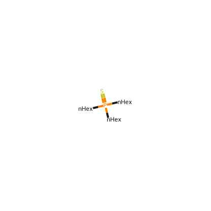 CCCCCCP(=S)(CCCCCC)CCCCCC